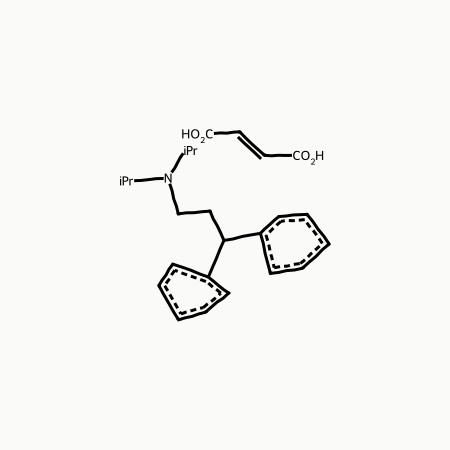 CC(C)N(CCC(c1ccccc1)c1ccccc1)C(C)C.O=C(O)/C=C/C(=O)O